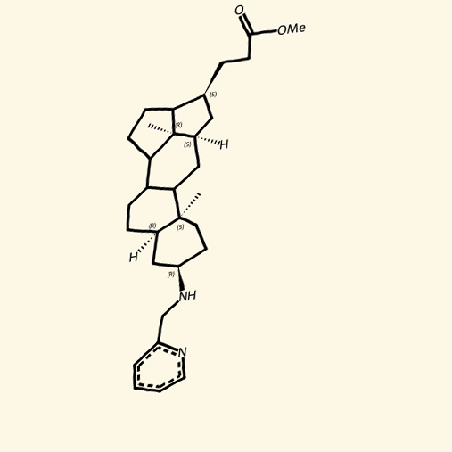 COC(=O)CC[C@H]1C[C@H]2CC3C(CC[C@@H]4C[C@H](NCc5ccccn5)CC[C@]34C)C3CCC1[C@]32C